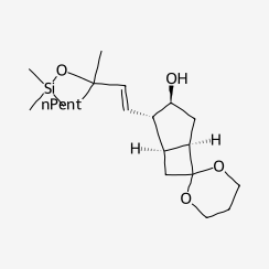 CCCCCC(C)(/C=C/[C@H]1[C@@H]2CC3(OCCCO3)[C@@H]2C[C@@H]1O)O[Si](C)(C)C